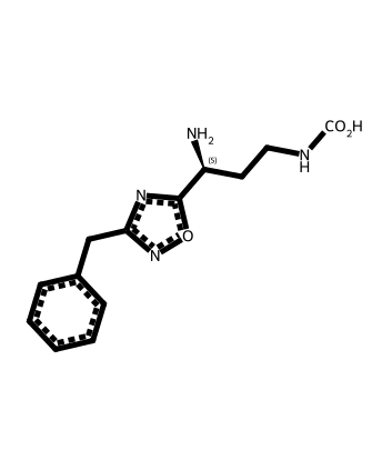 N[C@@H](CCNC(=O)O)c1nc(Cc2ccccc2)no1